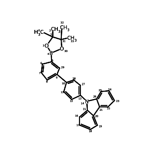 CC1(C)OB(c2cccc(-c3ccc(-n4c5ccccc5c5ccccc54)cc3)c2)OC1(C)C